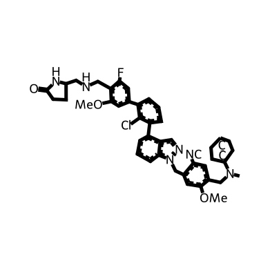 COc1cc(Cn2ncc3c(-c4cccc(-c5cc(F)c(CNCC6CCC(=O)N6)c(OC)c5)c4Cl)cccc32)c(C#N)cc1CN(C)C12CCC(CC1)CC2